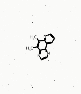 Cc1c(C)c2nccnc2c2cccnc12